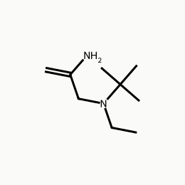 C=C(N)CN(CC)C(C)(C)C